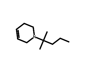 CCCC(C)(C)N1CC=CCC1